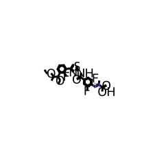 CCOC(C)C(OC)c1cccc(-c2csc(NC(=O)c3cc(F)c(/C=C(\C)C(=O)O)c(F)c3)n2)c1F